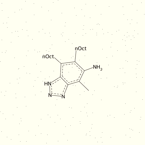 CCCCCCCCc1c(N)c(C)c2nn[nH]c2c1CCCCCCCC